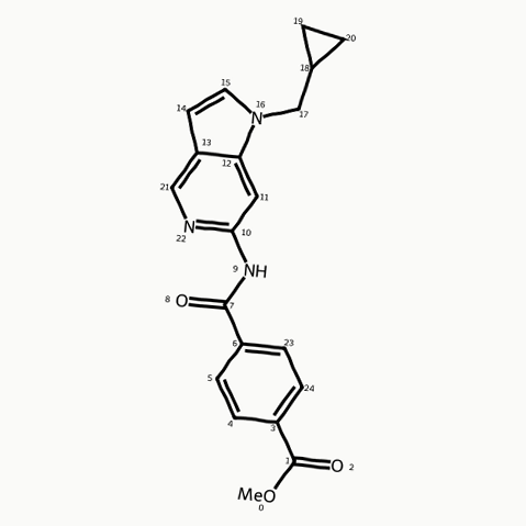 COC(=O)c1ccc(C(=O)Nc2cc3c(ccn3CC3CC3)cn2)cc1